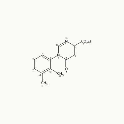 CCOC(=O)c1cc(=O)n(-c2cccc(C)c2C)cn1